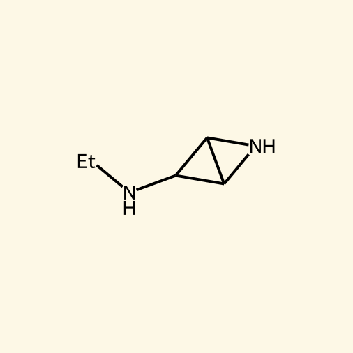 CCNC1C2NC12